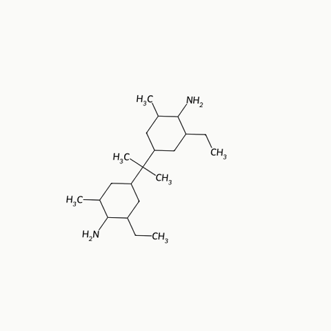 CCC1CC(C(C)(C)C2CC(C)C(N)C(CC)C2)CC(C)C1N